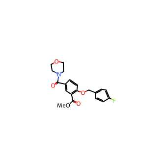 COC(=O)c1cc(C(=O)N2CCOCC2)ccc1OCc1ccc(F)cc1